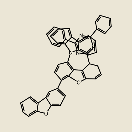 C1=Cc2oc3c(-c4ccc5oc6ccccc6c5c4)ccc(-n4c5ccccc5c5ccccc54)c3c2C(c2nc(-c3ccccc3)nc(-c3ccccc3)n2)C1